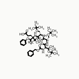 C[C@@H](OC(C)(C)C)[C@H](NC(=O)OCc1ccccc1)C(=O)N[C@@H](COC(C)(C)C)C(=O)N[C@@H](COC(C)(C)C)C(=O)N[C@@](CCC(=O)O)(C(=O)Oc1ccccc1)C(C)(C)C